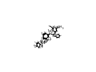 Cc1nc(N)cc(-c2c(Nc3cccc(NS(=O)(=O)c4ccc(Cl)cc4)c3)nc3ccccn23)n1